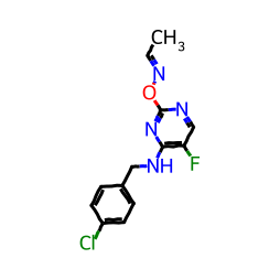 CC=NOc1ncc(F)c(NCc2ccc(Cl)cc2)n1